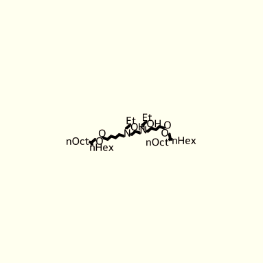 CCCCCCCCC(CCCCCC)COC(=O)CCCCCN(CCCN(CCCCC(=O)OCC(CCCCCC)CCCCCCCC)CC(O)CC)CC(O)CC